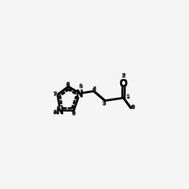 CC(=O)CCn1ccnc1